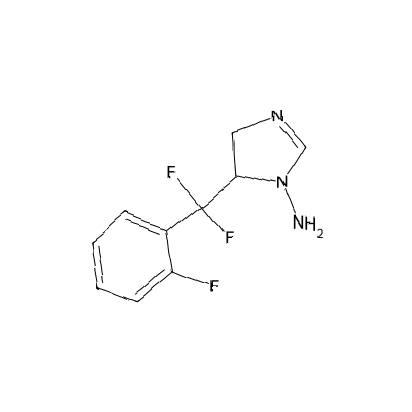 NN1C=NCC1C(F)(F)c1ccccc1F